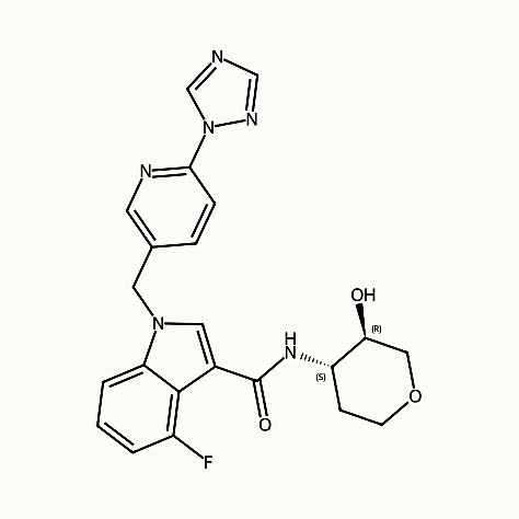 O=C(N[C@H]1CCOC[C@@H]1O)c1cn(Cc2ccc(-n3cncn3)nc2)c2cccc(F)c12